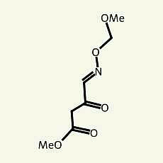 COCON=CC(=O)CC(=O)OC